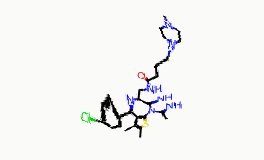 CC(=N)N1C(=N)C(CNC(=O)CCCN2CCN(C)CC2)N=C(c2ccc(Cl)cc2)c2c1sc(C)c2C